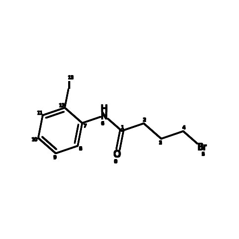 O=C(CCCBr)Nc1ccccc1I